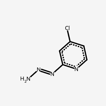 NN=Nc1cc(Cl)ccn1